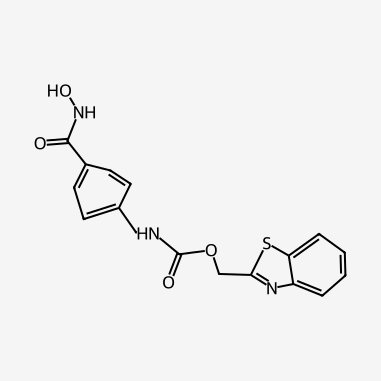 O=C(NCc1ccc(C(=O)NO)cc1)OCc1nc2ccccc2s1